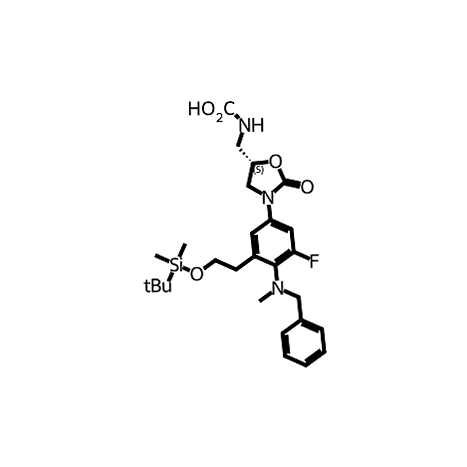 CN(Cc1ccccc1)c1c(F)cc(N2C[C@H](CNC(=O)O)OC2=O)cc1CCO[Si](C)(C)C(C)(C)C